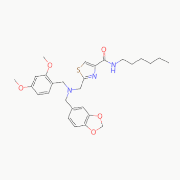 CCCCCCNC(=O)c1csc(CN(Cc2ccc3c(c2)OCO3)Cc2ccc(OC)cc2OC)n1